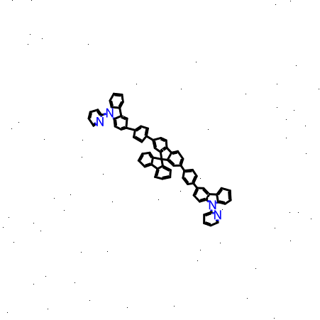 c1ccc(-n2c3ccccc3c3cc(-c4ccc(-c5ccc6c(c5)C5(c7ccccc7-c7ccccc75)c5cc(-c7ccc(-c8ccc9c(c8)c8ccccc8n9-c8ccccn8)cc7)ccc5-6)cc4)ccc32)nc1